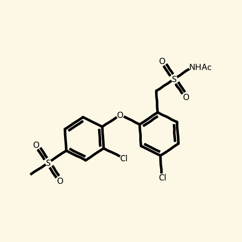 CC(=O)NS(=O)(=O)Cc1ccc(Cl)cc1Oc1ccc(S(C)(=O)=O)cc1Cl